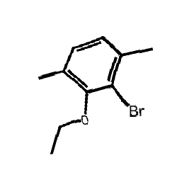 CCOc1c(C)ccc(C)c1Br